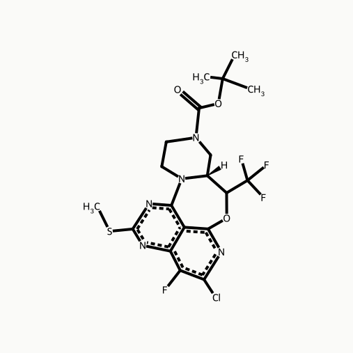 CSc1nc2c3c(nc(Cl)c(F)c3n1)OC(C(F)(F)F)[C@H]1CN(C(=O)OC(C)(C)C)CCN21